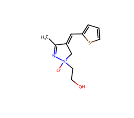 CC1=N[N+]([O-])(CCO)CC1=Cc1cccs1